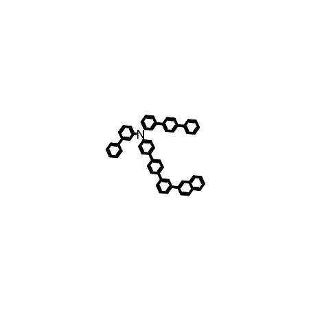 c1ccc(-c2ccc(-c3cccc(N(c4ccc(-c5ccc(-c6cccc(-c7ccc8ccccc8c7)c6)cc5)cc4)c4cccc(-c5ccccc5)c4)c3)cc2)cc1